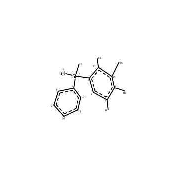 Cc1cc([Si](C)(Cl)c2ccccc2)c(C)c(C)c1C